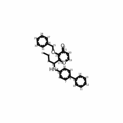 CCCC(Nc1ccc(-c2ccccc2)cc1)c1occc(=O)c1OCc1ccccc1